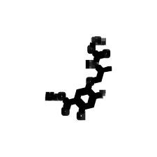 COC(=O)c1cc(OC[C@H](C)NC(=O)OC(C)(C)C)c(F)cc1Cl